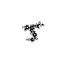 CCOC(=O)c1sc(Nc2nc(N3CCNC(=O)C3)c3c(n2)N(Cc2ccc(C(=O)N4CCC(O)C4)cc2)C(=O)C3)nc1C